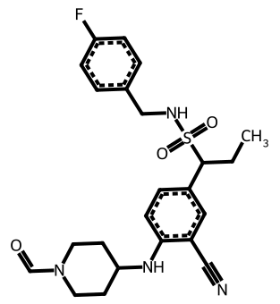 CCC(c1ccc(NC2CCN(C=O)CC2)c(C#N)c1)S(=O)(=O)NCc1ccc(F)cc1